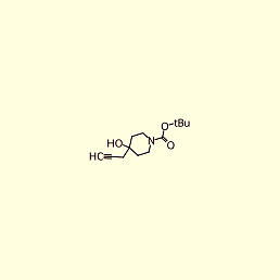 C#CCC1(O)CCN(C(=O)OC(C)(C)C)CC1